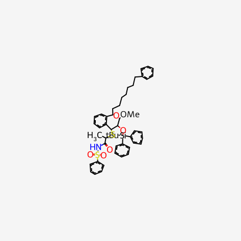 COC(=O)C(O[Si](c1ccccc1)(c1ccccc1)C(C)(C)C)C(SC(C)C(=O)NS(=O)(=O)c1ccccc1)c1ccccc1CCCCCCCCc1ccccc1